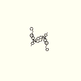 Cc1ccc(N(c2ccc(OCCCc3ccccc3)cc2)c2ccc3ccc4c(N(c5ccc(C)cc5)c5ccc(OCCCc6ccccc6)cc5)ccc5ccc2c3c54)cc1